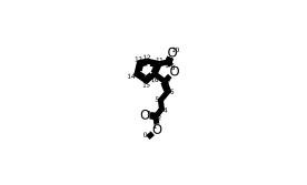 COC(=O)CC/C=C1/OC(=O)c2ccccc21